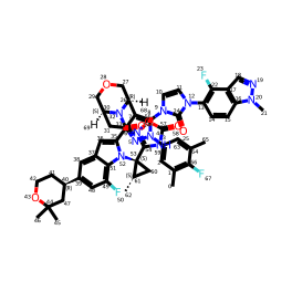 Cc1cc(-n2nc3c(c2-n2ccn(-c4ccc5c(cnn5C)c4F)c2=O)[C@@H]2COC[C@H](C3)N2C(=O)c2cc3cc([C@@H]4CCOC(C)(C)C4)cc(F)c3n2[C@@]2(c3noc(=O)[nH]3)C[C@@H]2C)cc(C)c1F